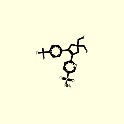 NS(=O)(=O)c1ccc(C2=C(c3ccc(C(F)(F)F)cc3)CC(CF)(CF)C2)nc1